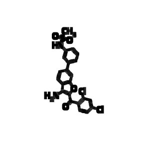 CS(=O)(=O)Nc1cccc(-c2ccc3c(N)c(C(=O)c4ccc(Cl)cc4Cl)oc3c2)c1